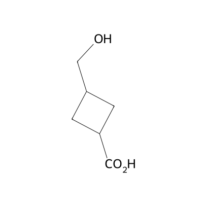 O=C(O)C1CC(CO)C1